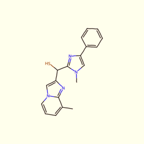 Cc1cccn2cc(C(S)c3nc(-c4ccccc4)cn3C)nc12